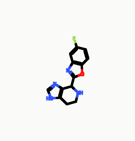 Fc1ccc2oc(C3NCCc4[nH]cnc43)nc2c1